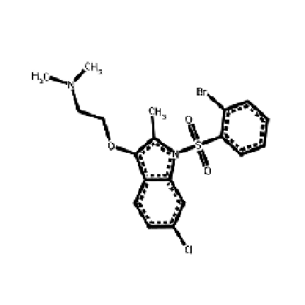 Cc1c(OCCN(C)C)c2ccc(Cl)cc2n1S(=O)(=O)c1ccccc1Br